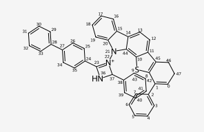 C1=C(c2ccccc2)c2sc3c(ccc4c5ccccc5n([N+]5=C(c6ccc(-c7ccccc7)cc6)NC5c5ccccc5)c43)c2CC1